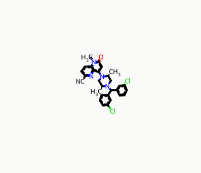 C[C@H]1CN(C(c2cccc(Cl)c2)c2cccc(Cl)c2)[C@@H](C)CN1c1cc(=O)n(C)c2ccc(C#N)nc12